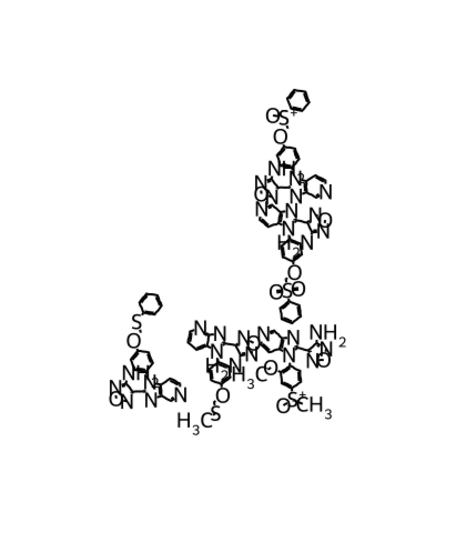 COc1cc([S+](C)[O-])ccc1-n1c(-c2nonc2N)nc2cnccc21.CSCOc1ccc(-n2c(-c3nonc3N)nc3ncccc32)cc1.Nc1nonc1-c1nc2cnccc2n1-c1ccc(OCS(=O)(=O)c2ccccc2)cc1.Nc1nonc1-c1nc2cnccc2n1-c1ccc(OCSc2ccccc2)cc1.Nc1nonc1-c1nc2cnccc2n1-c1ccc(OC[S+]([O-])c2ccccc2)cc1